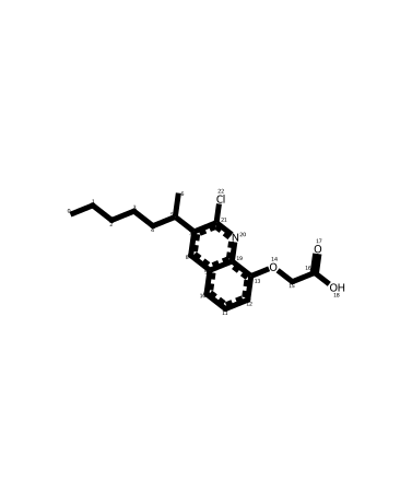 CCCCCC(C)c1cc2cccc(OCC(=O)O)c2nc1Cl